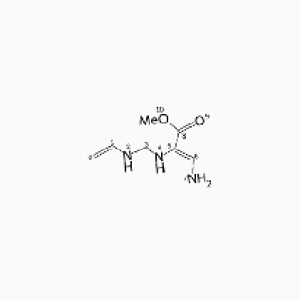 C=CNCN/C(=C\N)C(=O)OC